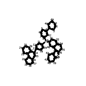 c1ccc(-c2cccc(N(c3ccc(-c4cc5ccccc5c5ccccc45)cc3)c3ccc4ccc5sc6ccccc6c5c4c3)c2)cc1